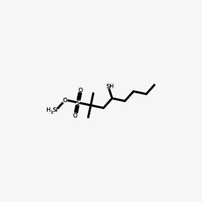 CCCCC(S)CC(C)(C)S(=O)(=O)O[SiH3]